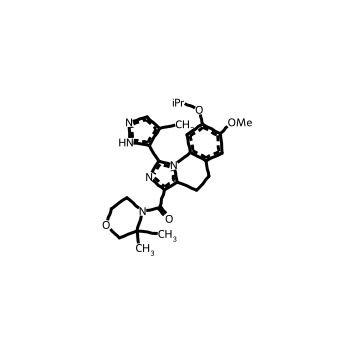 COc1cc2c(cc1OC(C)C)-n1c(-c3[nH]ncc3C)nc(C(=O)N3CCOCC3(C)C)c1CC2